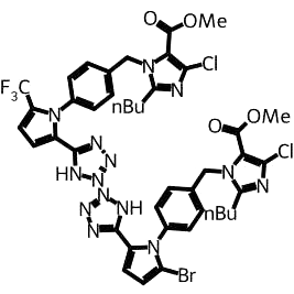 CCCCc1nc(Cl)c(C(=O)OC)n1Cc1ccc(-n2c(-c3nnn[nH]3)ccc2C(F)(F)F)cc1.CCCCc1nc(Cl)c(C(=O)OC)n1Cc1ccc(-n2c(Br)ccc2-c2nnn[nH]2)cc1